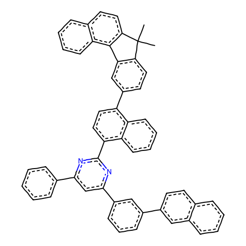 CC1(C)c2ccc(-c3ccc(-c4nc(-c5ccccc5)cc(-c5cccc(-c6ccc7ccccc7c6)c5)n4)c4ccccc34)cc2-c2c1ccc1ccccc21